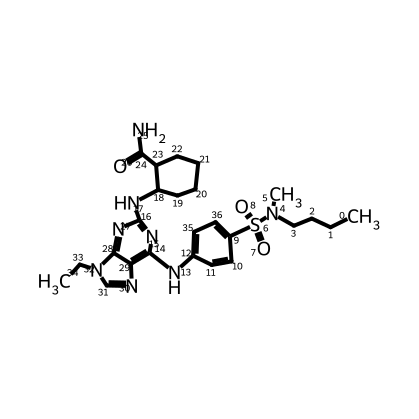 CCCCN(C)S(=O)(=O)c1ccc(Nc2nc(NC3CCCCC3C(N)=O)nc3c2ncn3CC)cc1